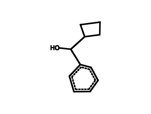 OC(c1ccccc1)C1CCC1